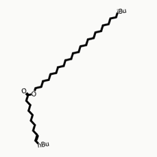 CCCCC=CCCCCCCCC(=O)OCCCCCCCCCCCCCCCCCCCCCCC(C)CC